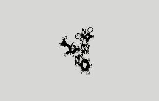 Cc1cc(-n2c(SC3(C(=O)N=O)CCC3)nnc2-n2nnc3ccccc32)sc1C1CC1